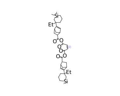 CCC1(C2=CC3CC2CC3C(=O)OC(=O)/C=C\C(=O)OC(=O)C2CC3CC2C=C3C2(CC)CCC[Si](C)(C)C2)CCC[Si](C)(C)C1